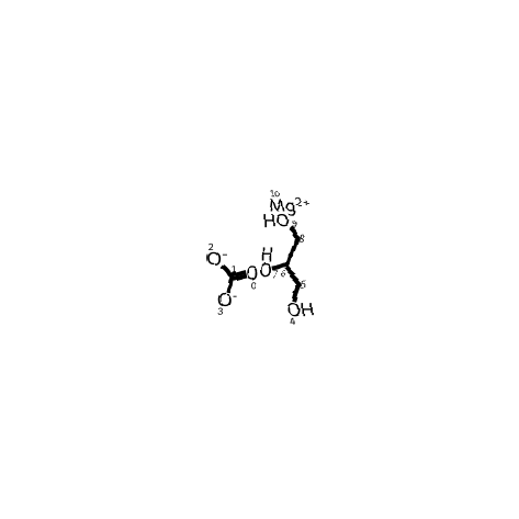 O=C([O-])[O-].OCC(O)CO.[Mg+2]